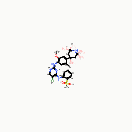 BC1(B)CC(B)(c2cc(OC(C)C)c(Nc3ncc(Cl)c(Nc4ccccc4S(=O)(=O)C(C)C)n3)cc2C)CC(B)(B)N1